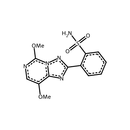 COc1cnc(OC)n2nc(-c3ccccc3S(N)(=O)=O)nc12